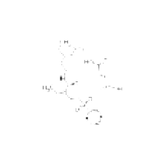 CCN(CC)CCNC(=O)N(CC)CCS(=O)(=O)c1ccccc1.O=C(O)C=CC(=O)O